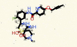 CC#CCOc1ccc(C(=O)Nc2ccc(F)c([C@]3(C)CS(O)(O)C4(CCN(C)CC4)C(=N)N3)c2)nc1